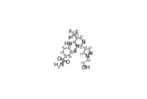 NS(=O)(=O)c1ccc(Nc2nc(-c3cnn(CCO)c3)ncc2C(F)(F)F)c(F)c1